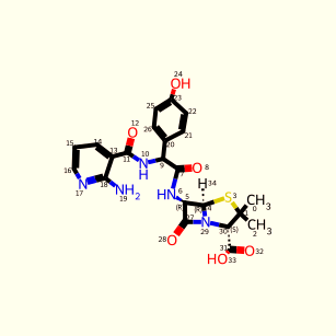 CC1(C)S[C@@H]2[C@H](NC(=O)C(NC(=O)c3cccnc3N)c3ccc(O)cc3)C(=O)N2[C@H]1C(=O)O